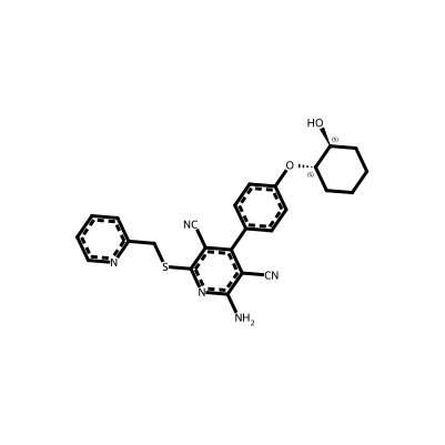 N#Cc1c(N)nc(SCc2ccccn2)c(C#N)c1-c1ccc(O[C@H]2CCCC[C@@H]2O)cc1